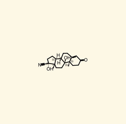 C[C@]12CCC(=O)C=C1CC[C@H]1[C@@H]3CC[C@](O)(C#N)[C@@]3(C)CC[C@]12O